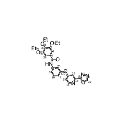 CCOc1cc(C(=O)Nc2cccc(Oc3ccnc(-c4nnco4)c3)c2)cc(OCC)c1OCC